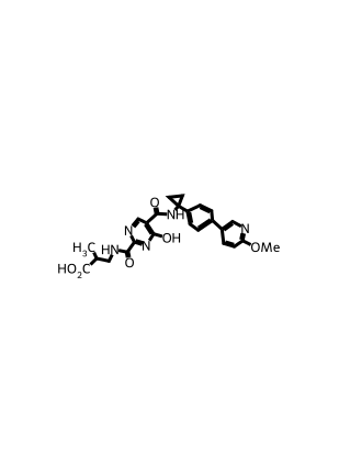 COc1ccc(-c2ccc(C3(NC(=O)c4cnc(C(=O)NCC(C)C(=O)O)nc4O)CC3)cc2)cn1